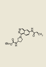 C=CC(=O)Nc1ccc2c(N3CC[C@@H](NC(=O)OC(C)(C)C)C3)nncc2c1